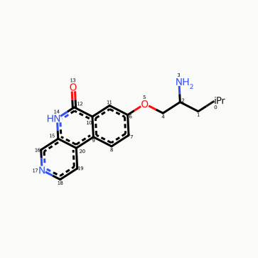 CC(C)CC(N)COc1ccc2c(c1)c(=O)[nH]c1cnccc12